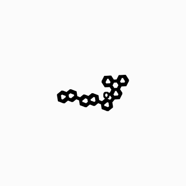 c1ccc2cc(-c3ccc4cc(-c5cccc6c5oc5c6ccc6c7ccccc7c7ccccc7c65)ccc4c3)ccc2c1